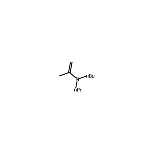 C=C(C)N(CCC)CCCC